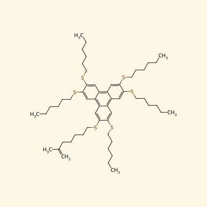 C=C(C)CCCCCSc1cc2c3cc(SCCCCCC)c(SCCCCCC)cc3c3cc(SCCCCCC)c(SCCCCCC)cc3c2cc1SCCCCCC